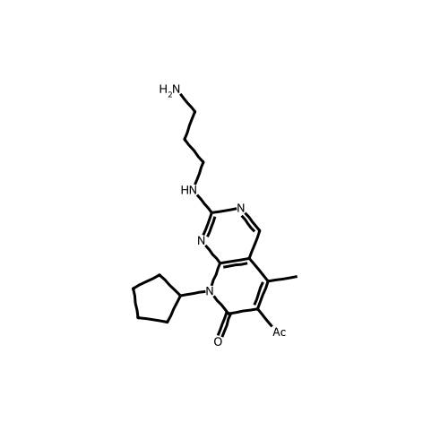 CC(=O)c1c(C)c2cnc(NCCCN)nc2n(C2CCCC2)c1=O